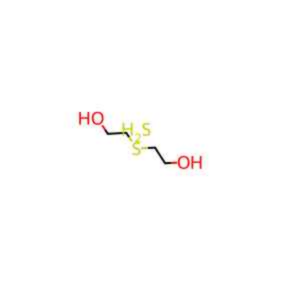 OCCSCCO.S